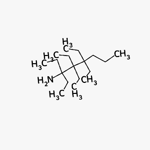 CCCC(CC)(CC)C(CC)(CC)C(N)(CC)CC